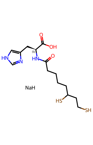 O=C(CCCCC(S)CCS)N[C@@H](Cc1c[nH]cn1)C(=O)O.[NaH]